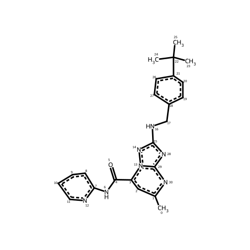 Cc1cc(C(=O)Nc2ccccn2)n2nc(NCc3ccc(C(C)(C)C)cc3)nc2n1